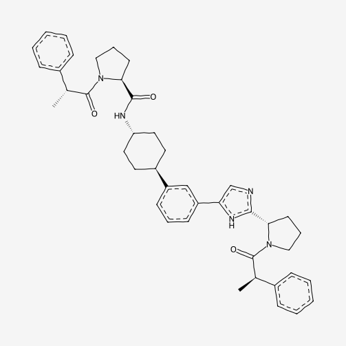 C[C@@H](C(=O)N1CCC[C@H]1C(=O)N[C@H]1CC[C@H](c2cccc(-c3cnc([C@@H]4CCCN4C(=O)[C@H](C)c4ccccc4)[nH]3)c2)CC1)c1ccccc1